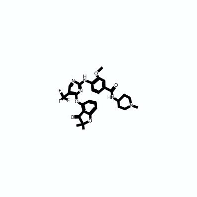 COc1cc(C(=O)NC2CCN(C)CC2)ccc1Nc1ncc(C(F)(F)F)c(Oc2cccc3c2C(=O)C(C)(C)O3)n1